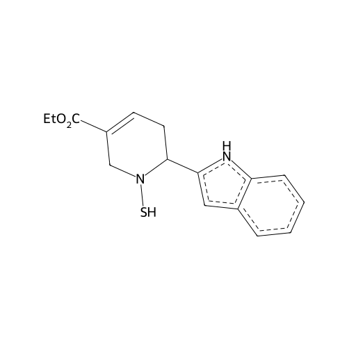 CCOC(=O)C1=CCC(c2cc3ccccc3[nH]2)N(S)C1